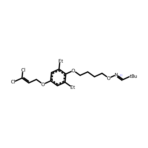 CCc1cc(OCC=C(Cl)Cl)cc(CC)c1OCCCCO/N=C/C(C)(C)C